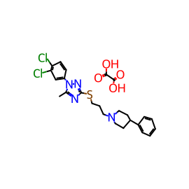 Cc1nc(SCCCN2CCC(c3ccccc3)CC2)nn1-c1ccc(Cl)c(Cl)c1.O=C(O)C(=O)O